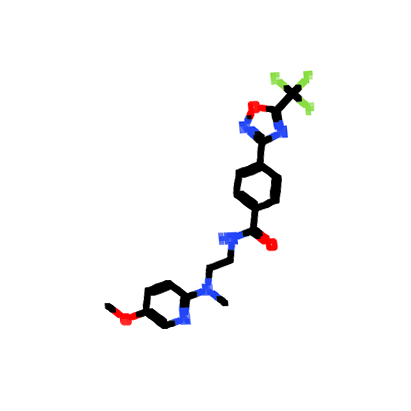 COc1ccc(N(C)CCNC(=O)c2ccc(-c3noc(C(F)(F)F)n3)cc2)nc1